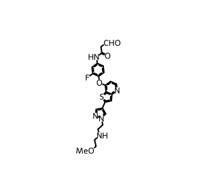 COCCNCCn1cc(-c2cc3nccc(Oc4ccc(NC(=O)CC=O)cc4F)c3s2)cn1